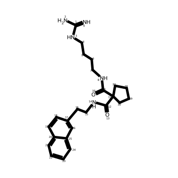 N=C(N)NCCC[CH]NC(=O)C1(C(=O)NCCc2ccc3ccccc3c2)CCCC1